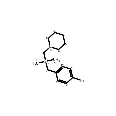 C[Si](C)(Cc1ccc(F)cc1)CN1CCCCC1